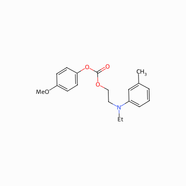 CCN(CCOC(=O)Oc1ccc(OC)cc1)c1cccc(C)c1